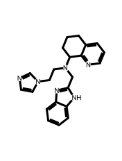 c1cnc2c(c1)CCCC2N(CCn1ccnc1)Cc1nc2ccccc2[nH]1